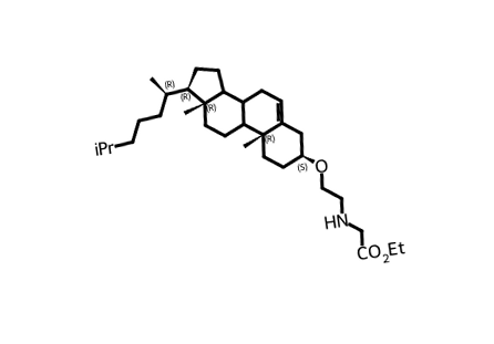 CCOC(=O)CNCCO[C@H]1CC[C@@]2(C)C(=CCC3C2CC[C@@]2(C)C3CC[C@@H]2[C@H](C)CCCC(C)C)C1